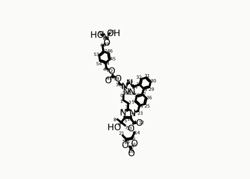 CCCc1nc(C(C)(C)O)c(C(=O)OCc2oc(=O)oc2C)n1Cc1ccc(-c2ccccc2-c2nnn(COC(=O)OCc3ccc(CON(O)O)cc3)n2)cc1